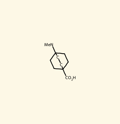 CNC12CCC(C(=O)O)(CC1)CC2